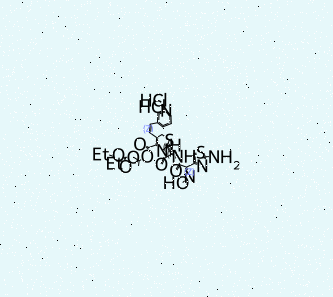 CCC(CC)OC(=O)OC(C)OC(=O)C1=C(/C=C\c2cccnc2)CS[C@@H]2[C@H](NC(=O)/C(=N\O)c3csc(N)n3)C(=O)N12.Cl.Cl